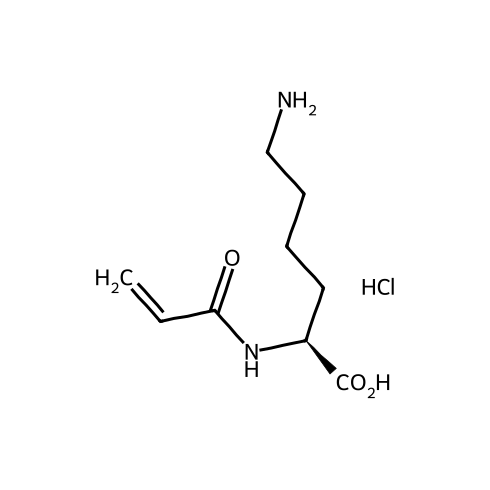 C=CC(=O)N[C@@H](CCCCN)C(=O)O.Cl